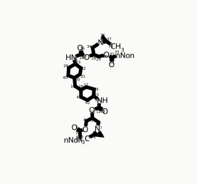 CCCCCCCCCC(=O)OCC(CN1CC1C)OC(=O)NC1CCC(CC2CCC(NC(=O)OC(COC(=O)CCCCCCCCC)CN3CC3C)CC2)CC1